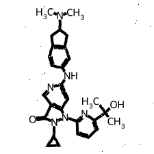 CN(C)C1Cc2ccc(Nc3cc4c(cn3)c(=O)n(C3CC3)n4-c3cccc(C(C)(C)O)n3)cc2C1